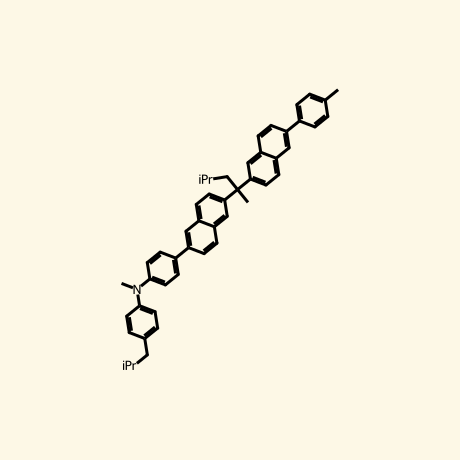 Cc1ccc(-c2ccc3cc(C(C)(CC(C)C)c4ccc5cc(-c6ccc(N(C)c7ccc(CC(C)C)cc7)cc6)ccc5c4)ccc3c2)cc1